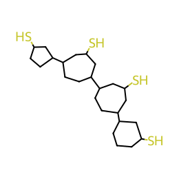 SC1CCCC(C2CCC(C3CCC(C4CCC(S)C4)CC(S)C3)CC(S)C2)C1